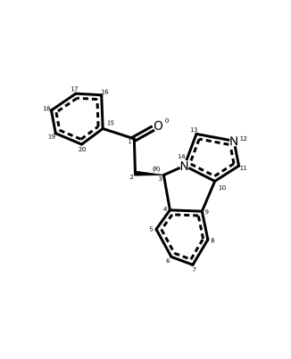 O=C(C[C@@H]1c2ccccc2-c2cncn21)c1ccccc1